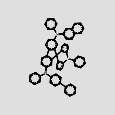 c1ccc(-c2ccc(N(c3ccccc3)c3ccc4c(c3)C3(c5cc(N(c6ccccc6)c6ccc7ccccc7c6)ccc5-4)c4ccccc4N(c4ccccc4)c4ccccc43)cc2)cc1